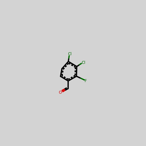 O=Cc1ccc(Cl)c(Cl)c1F